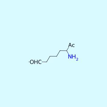 CC(=O)C(N)CCCC[C]=O